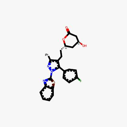 CC(C)c1nn(-c2nc3ccccc3s2)c(-c2ccc(F)cc2)c1CC[C@H]1C[C@H](O)CC(=O)O1